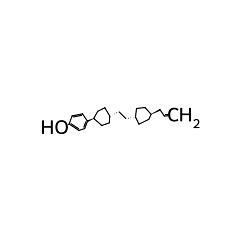 C=CC[C@H]1CC[C@H](CC[C@H]2CC[C@H](c3ccc(O)cc3)CC2)CC1